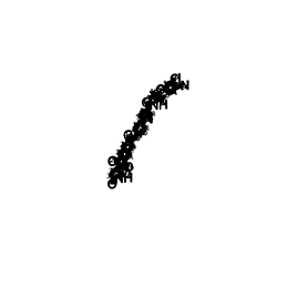 CC1(C)[C@H](NC(=O)c2ccc(N3CCN(CC(=O)N4Cc5cc6c(cc5C4)C(=O)N(C4CCC(=O)NC4=O)C6=O)CC3)nc2)C(C)(C)[C@H]1Oc1ccc(C#N)c(Cl)c1